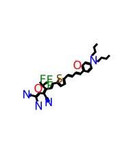 CCCCN(CCCC)c1ccc(/C=C/C=C/c2ccc(/C=C/C3=C(C#N)C(=C(C#N)C#N)OC3(C)C(F)(F)F)s2)c(OC)c1